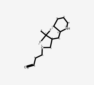 CC(F)(F)C(COCCC=O)CC1CCCCN1